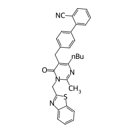 CCCCc1nc(C)n(Cc2nc3ccccc3s2)c(=O)c1Cc1ccc(-c2ccccc2C#N)cc1